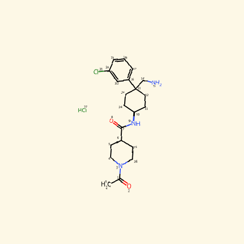 CC(=O)N1CCC(C(=O)NC2CCC(CN)(c3cccc(Cl)c3)CC2)CC1.Cl